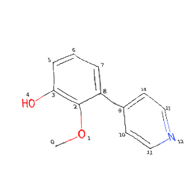 COc1c(O)cccc1-c1ccncc1